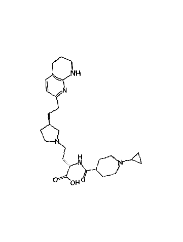 O=C(N[C@@H](CCN1CC[C@@H](CCc2ccc3c(n2)NCCC3)C1)C(=O)O)C1CCN(C2CC2)CC1